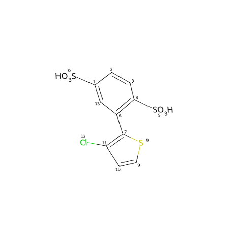 O=S(=O)(O)c1c[c]c(S(=O)(=O)O)c(-c2sccc2Cl)c1